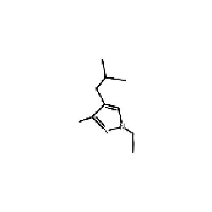 CCn1cc(CC(C)C)c(C)n1